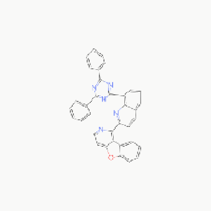 c1ccc(-c2nc(-c3ccccc3)nc(-c3cccc4ccc(-c5nccc6oc7ccccc7c56)nc34)n2)cc1